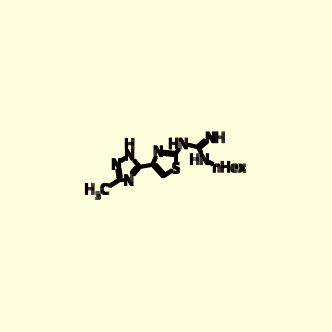 CCCCCCNC(=N)Nc1nc(-c2nc(C)n[nH]2)cs1